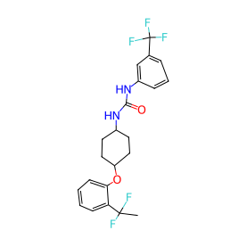 CC(F)(F)c1ccccc1OC1CCC(NC(=O)Nc2cccc(C(F)(F)F)c2)CC1